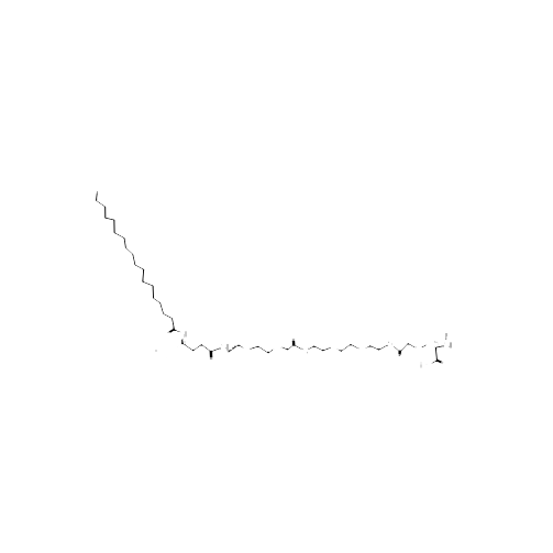 CC(C)N[C@@H](CSCC(=O)NCCOCCOCCNC(=O)COCCOCCNC(=O)CC[C@H](NC(=O)CCCCCCCCCCCCCCCCC(=O)O)C(=O)O)C(=O)C(C)C